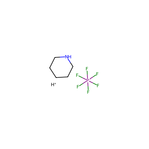 C1CCNCC1.F[P-](F)(F)(F)(F)F.[H+]